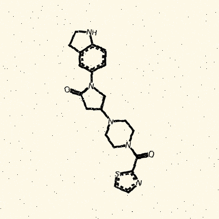 O=C(c1nccs1)N1CCN(C2CC(=O)N(c3ccc4c(c3)CCN4)C2)CC1